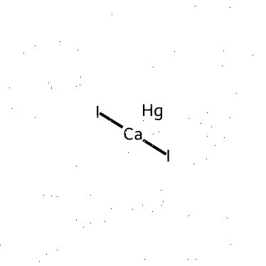 [Hg].[I][Ca][I]